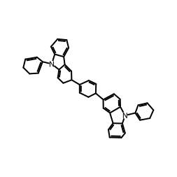 C1=CC(n2c3c(c4ccccc42)=CC(C2=CCC(c4ccc5c(c4)c4ccccc4n5C4=CCCC=C4)C=C2)CC=3)=CCC1